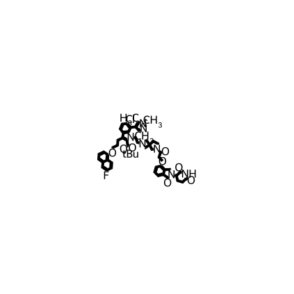 Cc1nn(C)c(C)c1-c1c(Cl)ccc2c(CCCOc3cccc4cc(F)ccc34)c(C(=O)OC(C)(C)C)n(CCN3CC4(CCN(C(=O)COc5cccc6c5CN(C5CCC(=O)NC5=O)C6=O)C4)C3)c12